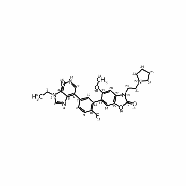 CCn1cnc2c(-c3ccc(F)c(-c4cc5oc(=O)n(CCN6CCCC6)c5cc4OC)c3)cnnc21